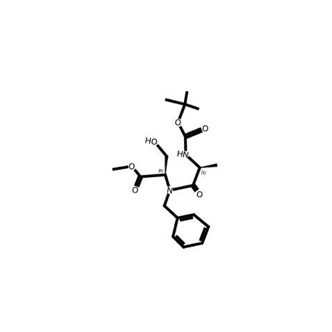 COC(=O)[C@@H](CO)N(Cc1ccccc1)C(=O)[C@H](C)NC(=O)OC(C)(C)C